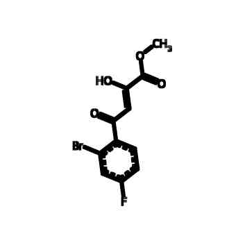 COC(=O)/C(O)=C/C(=O)c1ccc(F)cc1Br